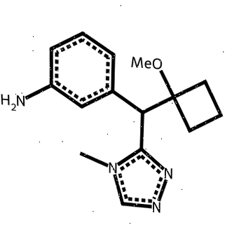 COC1(C(c2cccc(N)c2)c2nncn2C)CCC1